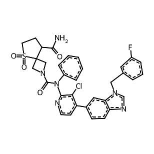 NC(=O)C1CCS(=O)(=O)C12CN(C(=O)N(c1ccccc1)c1nccc(-c3ccc4ncn(Cc5cccc(F)c5)c4c3)c1Cl)C2